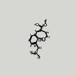 COC(=O)C1=Cc2cccc(CN(C)C)c2OCC1